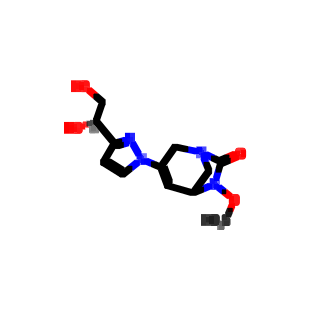 O=C1N2CC(n3ccc([C@H](O)CO)n3)=CC(C2)N1OS(=O)(=O)O